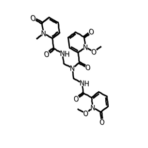 COn1c(C(=O)NCN(CNC(=O)c2cccc(=O)n2C)C(=O)c2cccc(=O)n2OC)cccc1=O